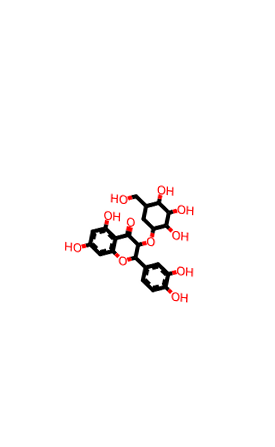 O=C1c2c(O)cc(O)cc2OC(c2ccc(O)c(O)c2)C1OC1CC(CO)C(O)C(O)C1O